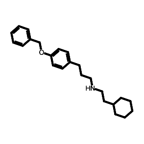 c1ccc(COc2ccc(CCCNCCC3CCCCC3)cc2)cc1